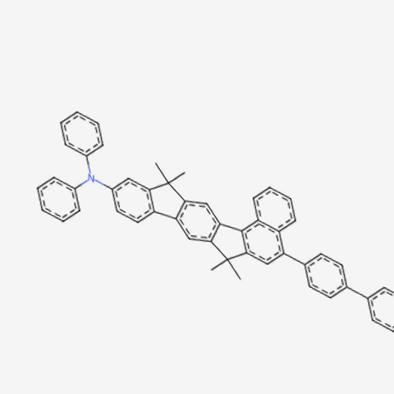 CC1(C)c2cc(N(c3ccccc3)c3ccccc3)ccc2-c2cc3c(cc21)-c1c(cc(-c2ccc(-c4ccccc4)cc2)c2ccccc12)C3(C)C